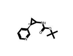 CC(C)(C)OC(=O)NC1C[C@@H]1c1cccnc1